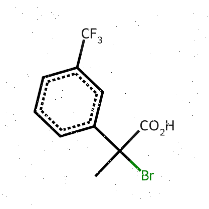 CC(Br)(C(=O)O)c1cccc(C(F)(F)F)c1